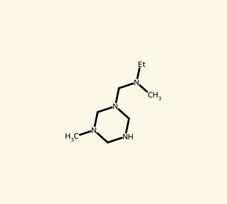 CCN(C)CN1CNCN(C)C1